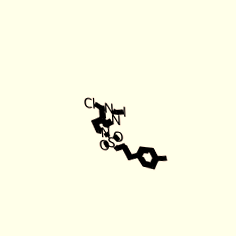 Cc1ccc(C=CCS(=O)(=O)n2ccc3c(Cl)nc(I)nc32)cc1